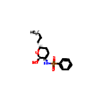 O=C(O)CC[C@@H]1CC[C@H](NS(=O)(=O)c2ccccc2)B(O)O1